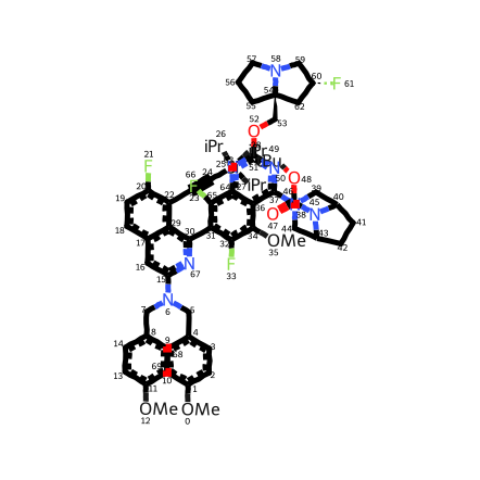 COc1ccc(CN(Cc2ccc(OC)cc2)c2cc3ccc(F)c(C#C[Si](C(C)C)(C(C)C)C(C)C)c3c(-c3c(F)c(OC)c4c(N5CC6CCC(C5)N6C(=O)OC(C)(C)C)nc(OC[C@@]56CCCN5C[C@H](F)C6)nc4c3F)n2)cc1